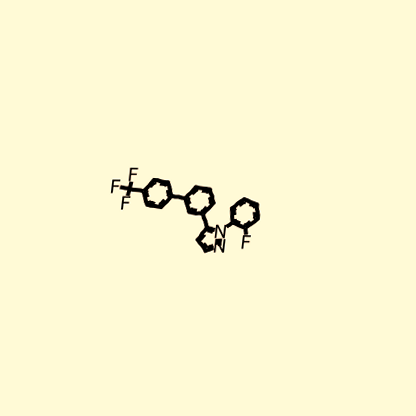 Fc1ccccc1-n1nccc1-c1cccc(-c2ccc(C(F)(F)F)cc2)c1